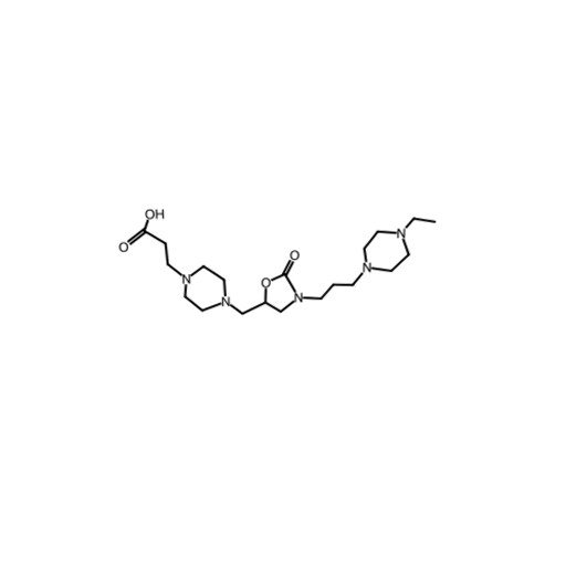 CCN1CCN(CCCN2CC(CN3CCN(CCC(=O)O)CC3)OC2=O)CC1